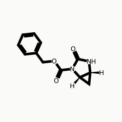 O=C1N[C@@H]2C[C@@H]2N1C(=O)OCc1ccccc1